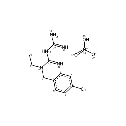 CCN(Cc1ccc(Cl)cc1)C(=N)NC(=N)N.O=[N+]([O-])O